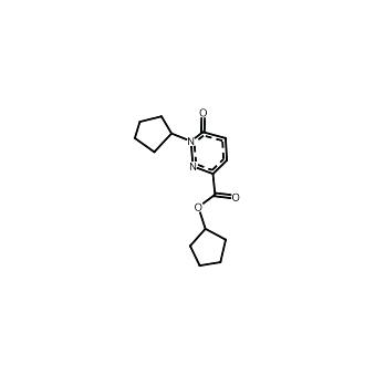 O=C(OC1CCCC1)c1ccc(=O)n(C2CCCC2)n1